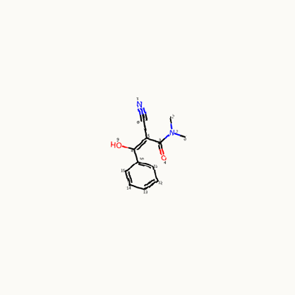 CN(C)C(=O)C(C#N)=C(O)c1ccccc1